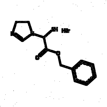 Br.O=C(OCc1ccccc1)C(S)N1C=NCC1